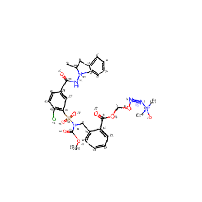 CC[N+]([O-])(CC)/N=N\OCOC(=O)c1ccccc1CN(C(=O)OC(C)(C)C)S(=O)(=O)c1cc(C(=O)NN2c3ccccc3CC2C)ccc1Cl